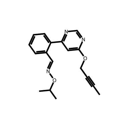 CC#CCOc1cc(-c2ccccc2C=NOC(C)C)ncn1